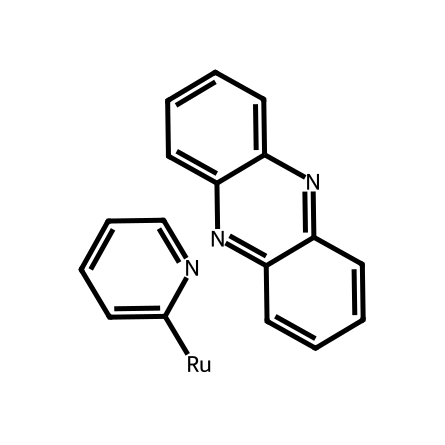 [Ru][c]1ccccn1.c1ccc2nc3ccccc3nc2c1